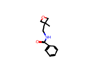 CC1(CNC(=O)c2ccccc2)COC1